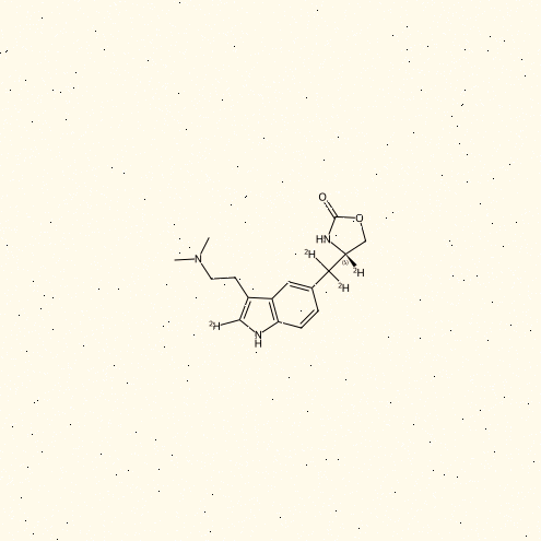 [2H]c1[nH]c2ccc(C([2H])([2H])[C@@]3([2H])COC(=O)N3)cc2c1CCN(C)C